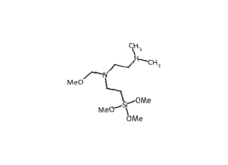 COCN(CCN(C)C)CC[Si](OC)(OC)OC